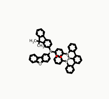 CC1(C)c2ccccc2-c2ccc(N(c3ccc(N4B5c6c(cccc6-c6ccccc64)-c4ccccc4N5c4ccccc4)cc3)c3ccc4oc5ccccc5c4c3)cc21